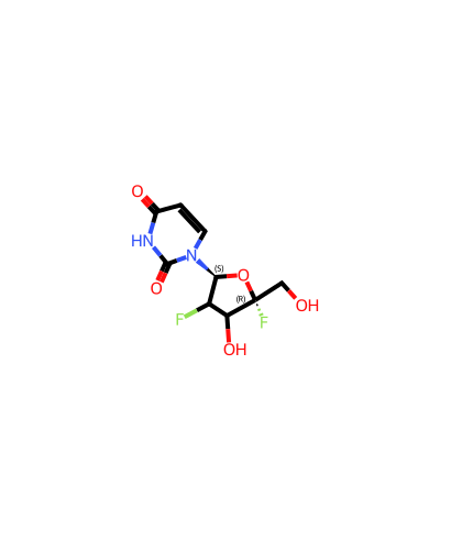 O=c1ccn([C@H]2O[C@@](F)(CO)C(O)C2F)c(=O)[nH]1